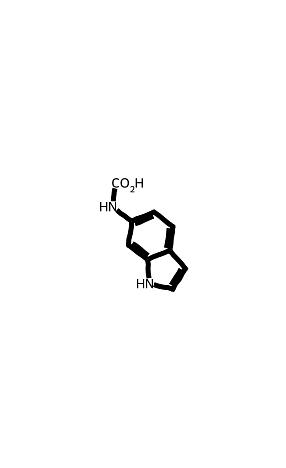 O=C(O)Nc1ccc2cc[nH]c2c1